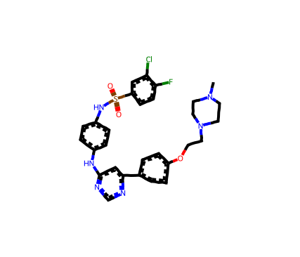 CN1CCN(CCOc2ccc(-c3cc(Nc4ccc(NS(=O)(=O)c5ccc(F)c(Cl)c5)cc4)ncn3)cc2)CC1